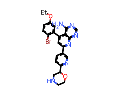 CCOc1ccc(Br)c(-c2cc(-c3ccc(C4CNCCO4)nc3)nc3ncnc(N)c23)c1